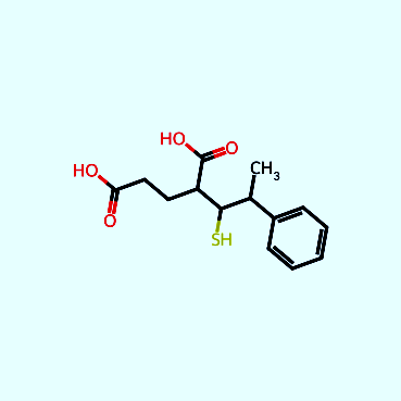 CC(c1ccccc1)C(S)C(CCC(=O)O)C(=O)O